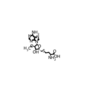 CO[C@@H]1[C@H](O)[C@@H](CSCC[C@H](N)C(=O)O)O[C@H]1n1cnc2c(N)ncnc21